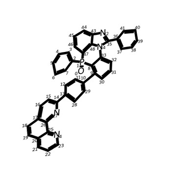 O=P1(c2ccccc2)c2c(-c3ccc(-c4ccc5ccc6cccnc6c5n4)cc3)cccc2-n2c(-c3ccccc3)nc3cccc1c32